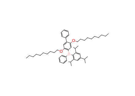 CCCCCCCCCCOc1cc(-c2ccccc2)c(OCCCCCCCCCC)cc1B(c1ccccc1)c1c(C(C)C)cc(C(C)C)cc1C(C)C